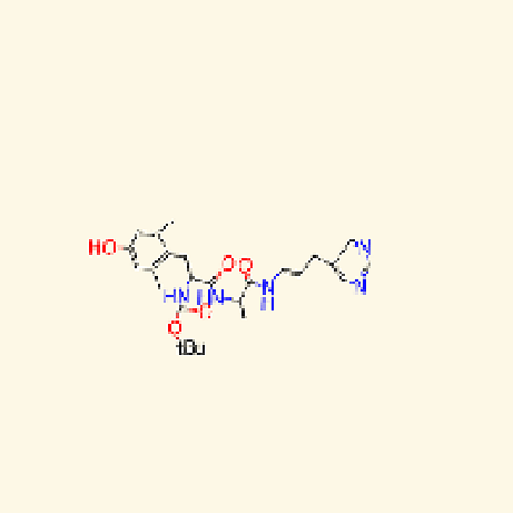 Cc1cc(O)cc(C)c1C[C@H](NC(=O)OC(C)(C)C)C(=O)N[C@H](C)C(=O)N/C=C/Cc1cncnc1